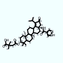 CC(C)C1=C2C3CCC4[C@@](C)(CCC5C(C)(C)[C@@H](OC(=O)CC(C)(C)C(=O)O)CC[C@@]54C)C3CC[C@@]2(NC(=O)c2cn[nH]c2)CC1=O